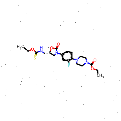 CCOC(=O)N1CCN(c2ccc(N3C[C@H](CNC(=S)OCC)OC3=O)cc2F)CC1